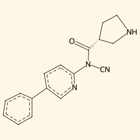 N#CN(C(=O)[C@@H]1CCNC1)c1ccc(-c2ccccc2)cn1